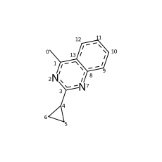 Cc1nc(C2CC2)nc2ccccc12